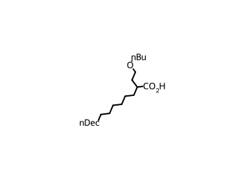 CCCCCCCCCCCCCCCCC(CCOCCCC)C(=O)O